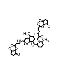 CC1CCCC(CC2CCC(C)N(CC(=O)NCCC(=O)ON3C(=O)CCC3=O)C2C)N1CC(=O)NCCC(=O)ON1C(=O)CCC1=O